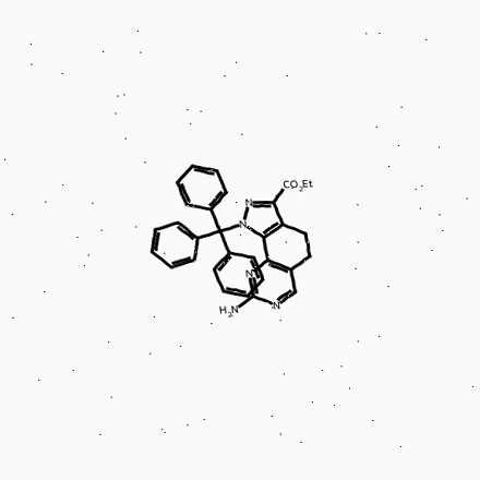 CCOC(=O)c1nn(C(c2ccccc2)(c2ccccc2)c2ccccc2)c2c1CCc1cnc(N)nc1-2